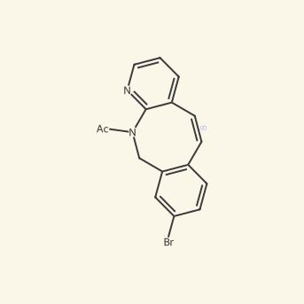 CC(=O)N1Cc2cc(Br)ccc2/C=C\c2cccnc21